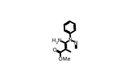 C=NN(/C(N)=C(\C)C(=O)OC)c1ccccc1